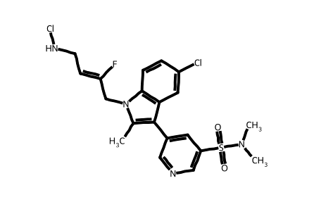 Cc1c(-c2cncc(S(=O)(=O)N(C)C)c2)c2cc(Cl)ccc2n1C/C(F)=C/CNCl